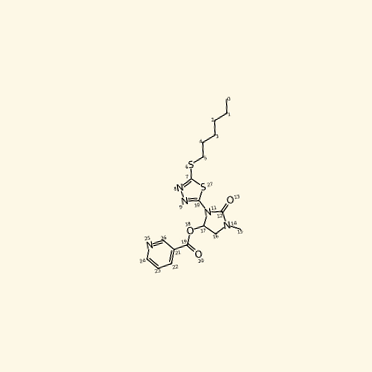 CCCCCCSc1nnc(N2C(=O)N(C)CC2OC(=O)c2cccnc2)s1